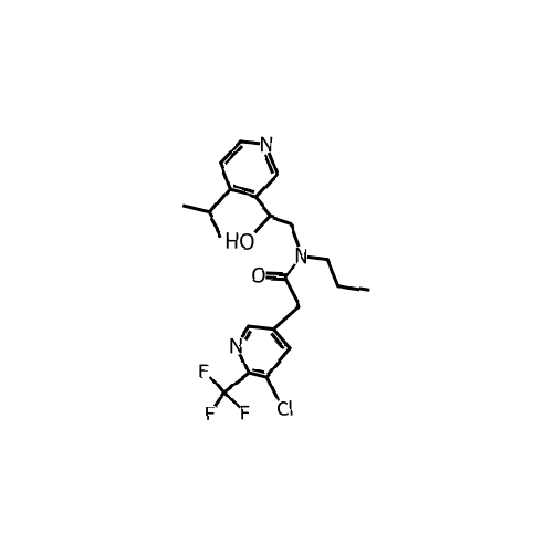 CCCN(CC(O)c1cnccc1C(C)C)C(=O)Cc1cnc(C(F)(F)F)c(Cl)c1